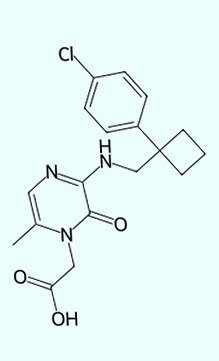 Cc1cnc(NCC2(c3ccc(Cl)cc3)CCC2)c(=O)n1CC(=O)O